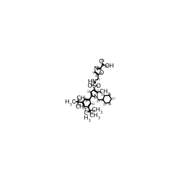 Cc1c(S(=O)(=O)NCc2cnc(C(=O)O)o2)cc(-c2cc(C(C)(C)C)cc(C(C)(C)C)c2)n1CC1CCCCC1